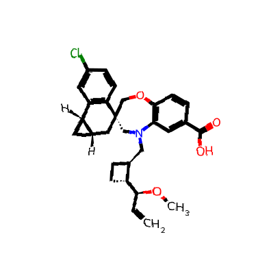 C=C[C@H](OC)[C@@H]1CC[C@H]1CN1C[C@]2(COc3ccc(C(=O)O)cc31)C[C@@H]1C[C@@H]1c1cc(Cl)ccc12